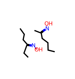 CCCC(CC)=NO.CCCCC(C)=NO